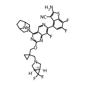 N#Cc1c(N)sc2c(F)c(F)cc(-c3ncc4c(N5CC6CCC(C5)N6)nc(OCC5(CN6C[C@@H]7[C@H](C6)C7(F)F)CC5)nc4c3F)c12